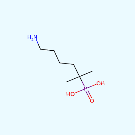 CC(C)(CCCCN)P(=O)(O)O